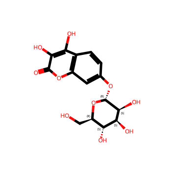 O=c1oc2cc(O[C@H]3O[C@H](CO)[C@@H](O)[C@H](O)[C@@H]3O)ccc2c(O)c1O